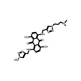 CCCCn1cc(CNc2ccc(O)c3c2C(=O)c2c(O)ccc(NCc4cn(CCCN(C)C)nn4)c2C3=O)nn1